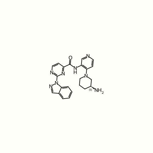 N[C@H]1CCCN(c2ccncc2NC(=O)c2ccnc(-n3ncc4ccccc43)n2)C1